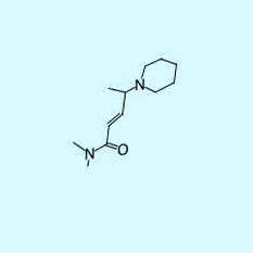 CC(C=CC(=O)N(C)C)N1CCCCC1